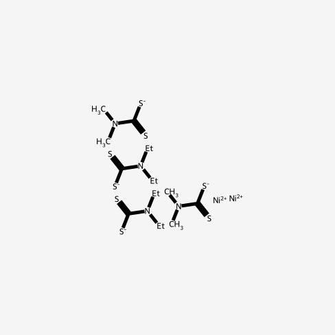 CCN(CC)C(=S)[S-].CCN(CC)C(=S)[S-].CN(C)C(=S)[S-].CN(C)C(=S)[S-].[Ni+2].[Ni+2]